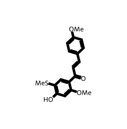 COc1ccc(C=CC(=O)c2cc(SC)c(O)cc2OC)cc1